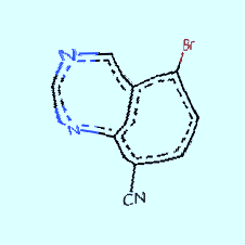 N#Cc1ccc(Br)c2cncnc12